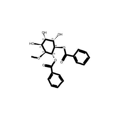 CO[C@H]1[C@@H](O)[C@H](O)[C@H](O)[C@@H](OC(=O)c2ccccc2)[C@@H]1OC(=O)c1ccccc1